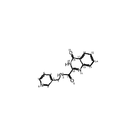 O=C(NCc1cccnc1)c1nc2ccccc2c(=O)[nH]1